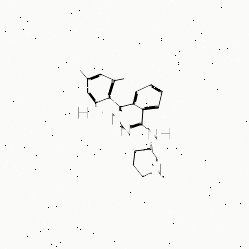 Cc1cc(C)c(-c2nnc(N[C@@H]3CCCN(C)C3)c3ccccc23)c(O)c1